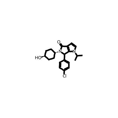 CC(C)n1ccc2c1C(c1ccc(Cl)cc1)N([C@H]1CC[C@H](O)CC1)C2=O